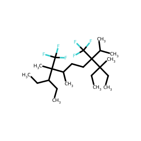 CCC(CC)C(C)(C(C)CCC(C(C)C)(C(F)(F)F)C(C)(CC)CC)C(F)(F)F